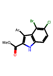 COC(=O)c1[nH]c2ccc(Cl)c(Br)c2c1C(C)=O